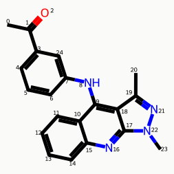 CC(=O)c1cccc(Nc2c3ccccc3nc3c2c(C)nn3C)c1